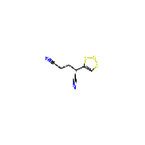 N#CCCC(C#N)C1=CSSS1